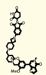 COc1cc(-c2cn(C)c(=O)c3ccsc23)cc(OC)c1CN1CCC(CN2CCC3(CC2)CN(c2ccc4c(c2)C(=O)N(C2CCC(=O)NC2=O)C4=O)C3)CC1